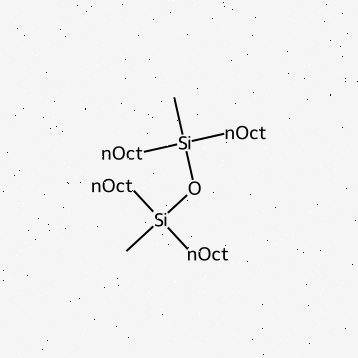 CCCCCCCC[Si](C)(CCCCCCCC)O[Si](C)(CCCCCCCC)CCCCCCCC